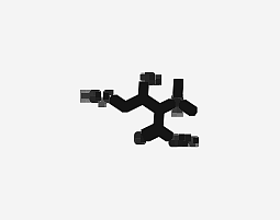 COC(=O)C(C(CC(=O)O)C(C)(C)C)[SiH](C)C